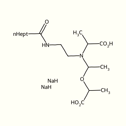 CCCCCCCC(=O)NCCN(C(C)OC(C)C(=O)O)C(C)C(=O)O.[NaH].[NaH]